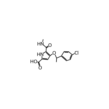 CNC(=O)c1[nH]c(C(=O)O)cc1OC(C)c1ccc(Cl)cc1